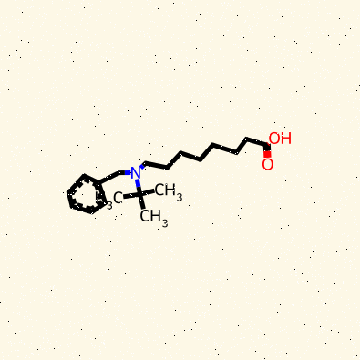 CC(C)(C)N(CCCCCCCC(=O)O)Cc1ccccc1